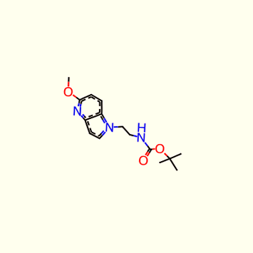 COc1ccc2c(ccn2CCNC(=O)OC(C)(C)C)n1